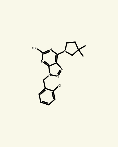 CC1(C)CCN(c2nc(C(C)(C)C)nc3c2nnn3Cc2ccccc2Cl)C1